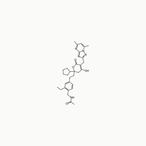 CCc1cc(CCC2(C3CCCC3)CC(O)=C(Cc3nc4nc(C)cc(C)n4n3)C(=O)O2)ccc1CNC(C)=O